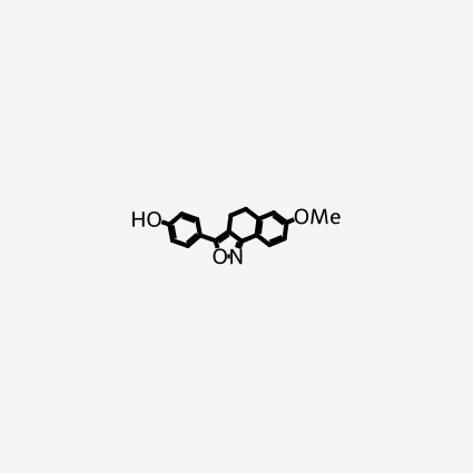 COc1ccc2c(c1)CCc1c-2noc1-c1ccc(O)cc1